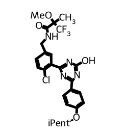 CCC[C@H](C)Oc1ccc(-c2nc(O)nc(-c3cc(CNC(=O)C(C)(OC)C(F)(F)F)ccc3Cl)n2)cc1